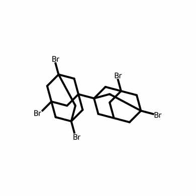 BrC12CC3CC(Br)(C1)CC(C14CC5(Br)CC(Br)(CC(Br)(C5)C1)C4)(C3)C2